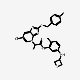 CCC(C(=O)Nc1cc(NC2COC2)ccc1C)n1cc(Cl)cc2nc(SCc3ccc(F)cc3)nc1-2